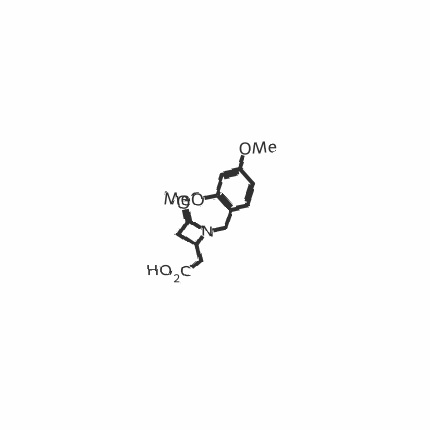 COc1ccc(CN2C(=O)CC2CC(=O)O)c(OC)c1